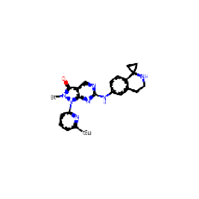 CCn1c(=O)c2cnc(Nc3ccc4c(c3)CCNC43CC3)nc2n1-c1cccc(C(C)(C)C)n1